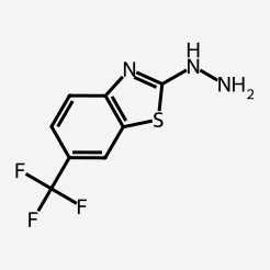 NNc1nc2ccc(C(F)(F)F)cc2s1